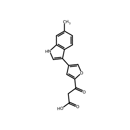 Cc1ccc2c(-c3coc(C(=O)CC(=O)O)c3)c[nH]c2c1